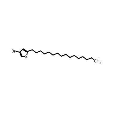 CCCCCCCCCCCCCCCCc1cc(Br)cs1